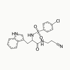 N#CCCNC(=O)C(Cc1c[nH]c2ccccc12)NS(=O)(=O)c1ccc(Cl)cc1